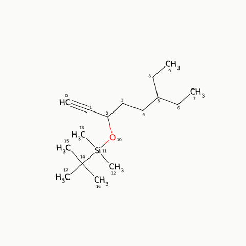 C#CC(CCC(CC)CC)O[Si](C)(C)C(C)(C)C